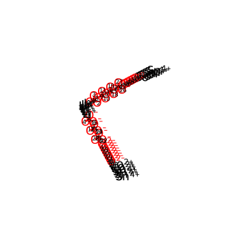 O=C([O-])[O-].O=C([O-])[O-].O=C([O-])[O-].O=C([O-])[O-].O=C([O-])[O-].O=C([O-])[O-].O=C([O-])[O-].[Co+2].[Co+2].[Co+2].[Co+2].[Co+2].[Co+2].[Li+].[Li+].[Li+].[Li+].[Li+].[Li+].[O-2].[O-2].[O-2].[O-2].[O-2].[O-2].[O-2].[O-2].[O-2].[O-2].[O-2].[O-2].[O-2].[O-2].[Sn+4].[Sn+4].[Sn+4].[Sn+4].[Sn+4].[Sn+4]